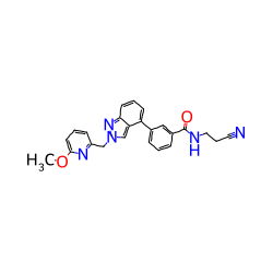 COc1cccc(Cn2cc3c(-c4cccc(C(=O)NCCC#N)c4)cccc3n2)n1